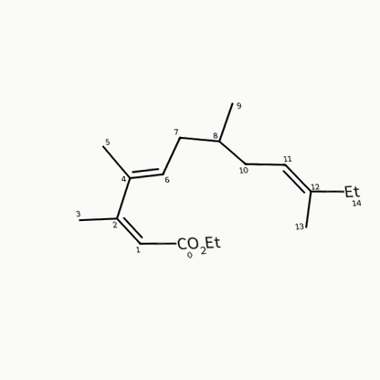 CCOC(=O)C=C(C)C(C)=CCC(C)CC=C(C)CC